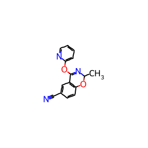 CC1N=C(Oc2ccccn2)c2cc(C#N)ccc2O1